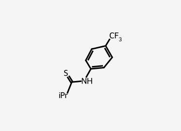 CC(C)C(=S)Nc1ccc(C(F)(F)F)cc1